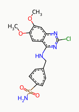 COc1cc2nc(Cl)nc(NCc3ccc(S(N)(=O)=O)cc3)c2cc1OC